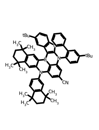 CC(C)(C)c1ccc(N2c3cc(C#N)cc4c3B(c3cc5c(cc3N4c3ccc4c(c3)C(C)(C)CCC4(C)C)C(C)(C)CCC5(C)C)c3c2oc2ccc(C(C)(C)C)cc32)c(-c2ccccc2)c1